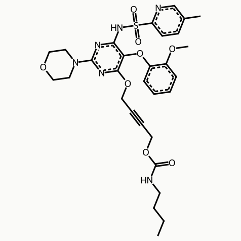 CCCCNC(=O)OCC#CCOc1nc(N2CCOCC2)nc(NS(=O)(=O)c2ccc(C)cn2)c1Oc1ccccc1OC